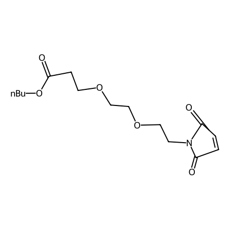 CCCCOC(=O)CCOCCOCCN1C(=O)C=CC1=O